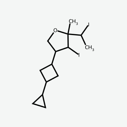 CC(I)C1(C)OCC(C2CC(C3CC3)C2)C1I